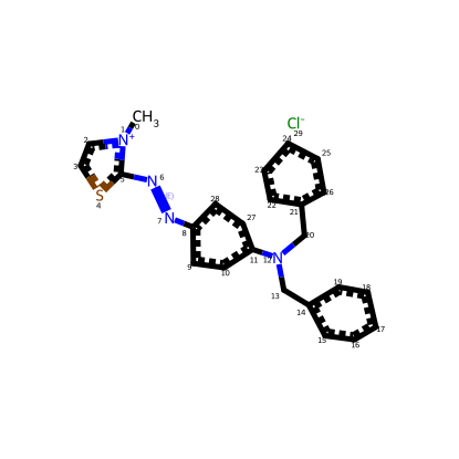 C[n+]1ccsc1/N=N/c1ccc(N(Cc2ccccc2)Cc2ccccc2)cc1.[Cl-]